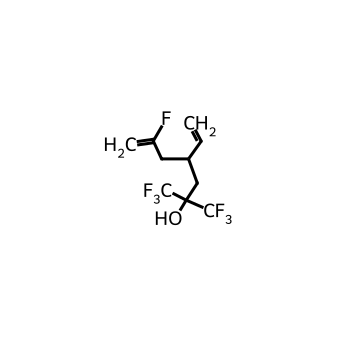 C=CC(CC(=C)F)CC(O)(C(F)(F)F)C(F)(F)F